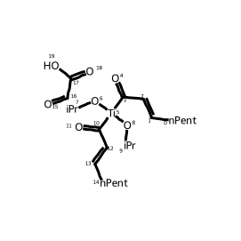 CCCCCC=C[C](=O)[Ti]([O]C(C)C)([O]C(C)C)[C](=O)C=CCCCCC.O=CC(=O)O